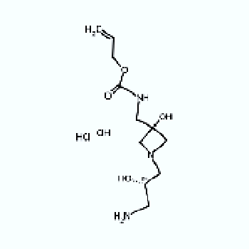 C=CCOC(=O)NCC1(O)CN(C[C@@H](O)CN)C1.Cl.Cl